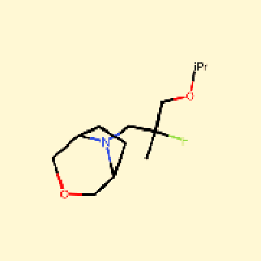 CC(C)OCC(C)(F)CN1C2CCC1COC2